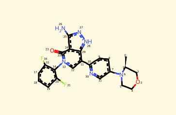 C[C@H]1COCCN1c1ccc(-c2cn(-c3c(F)cccc3F)c(=O)c3c(N)n[nH]c23)nc1